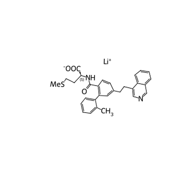 CSCC[C@H](NC(=O)c1ccc(CCc2cncc3ccccc23)cc1-c1ccccc1C)C(=O)[O-].[Li+]